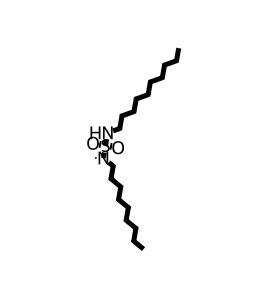 CCCCCCCCCCNS(=O)(=O)[N]CCCCCCCCC